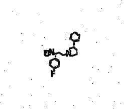 CO/N=C(/CCN1CCCC(c2ccccc2)C1)c1ccc(F)cc1